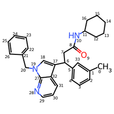 Cc1cccc(C(CC(=O)NC2CCCCC2)c2cn(Cc3ccccc3)c3ncccc23)c1